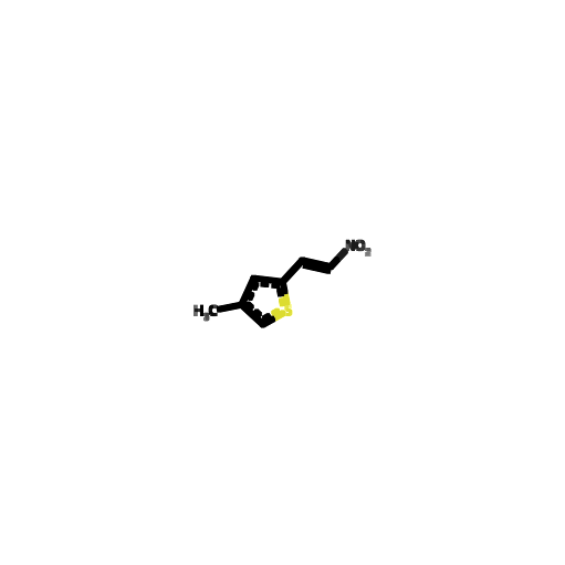 Cc1csc(/C=C/[N+](=O)[O-])c1